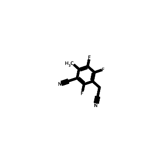 Cc1c(F)c(F)c(CC#N)c(F)c1C#N